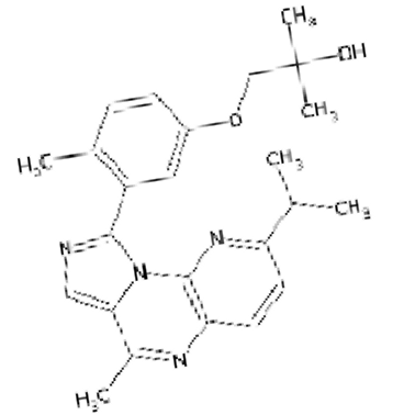 Cc1ccc(OCC(C)(C)O)cc1-c1ncc2c(C)nc3ccc(C(C)C)nc3n12